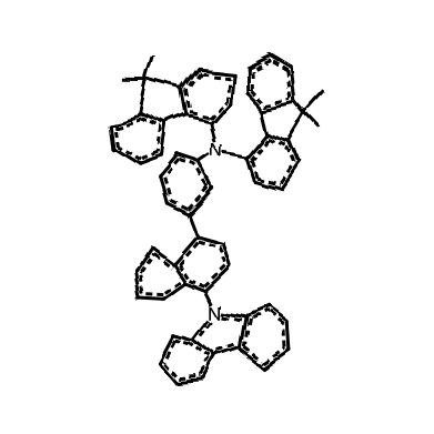 CC1(C)c2ccccc2-c2c(N(c3cccc(-c4ccc(-n5c6ccccc6c6ccccc65)c5ccccc45)c3)c3cccc4c3-c3ccccc3C4(C)C)cccc21